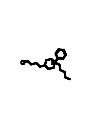 CCCCC[Si]1(c2ccccc2)CCC(CCCC=O)CC1